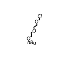 CCCCOCCOCCOCCl